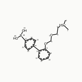 C[SiH](C)CCOCOc1ccccc1-c1ccc(B(O)O)cc1